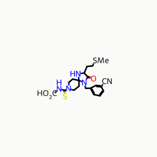 CSCCC1NC2(CCN(C(=S)NC(=O)O)CC2)N(Cc2cccc(C#N)c2)C1=O